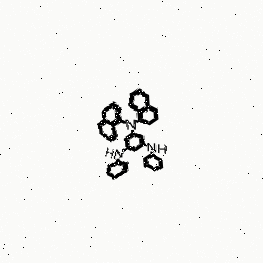 c1ccc(Nc2cc(Nc3ccccc3)cc(N(c3cccc4ccccc34)c3cccc4ccccc34)c2)cc1